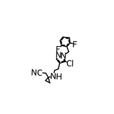 N#CCC1(NCCc2cnn(Cc3c(F)cccc3F)c2Cl)CC1